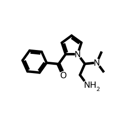 CN(C)C(CN)n1cccc1C(=O)c1ccccc1